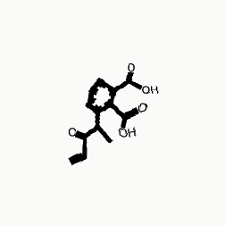 C=CC(=O)C(C)c1cccc(C(=O)O)c1C(=O)O